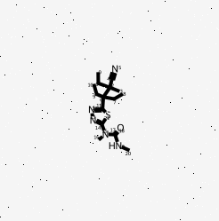 CCC(C)(C#N)C(CC)(CC)c1nnc(N(C)C(=O)NC)s1